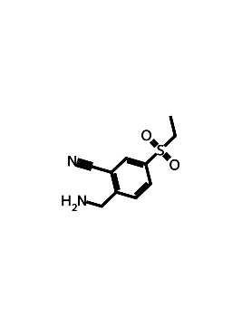 CCS(=O)(=O)c1ccc(CN)c(C#N)c1